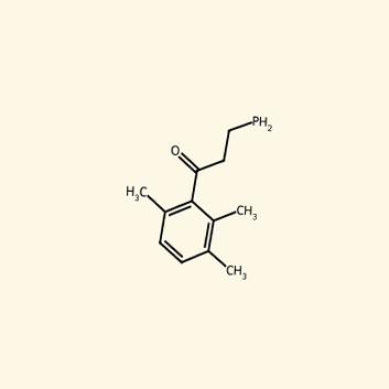 Cc1ccc(C)c(C(=O)CCP)c1C